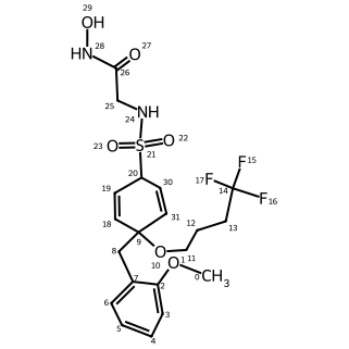 COc1ccccc1CC1(OCCCC(F)(F)F)C=CC(S(=O)(=O)NCC(=O)NO)C=C1